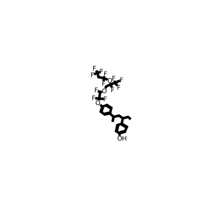 CCC(CC(C)c1ccc(OC(F)(F)C(F)OCC(F)(OC(F)(F)CC(F)(F)F)C(F)(F)F)cc1)c1ccc(O)cc1